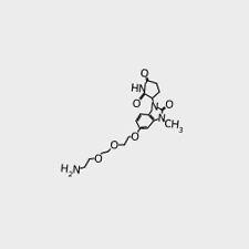 Cn1c(=O)n(C2CCC(=O)NC2=O)c2ccc(OCCOCCOCCN)cc21